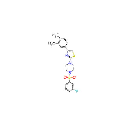 Cc1ccc(-c2csc(N3CCN(S(=O)(=O)c4cccc(F)c4)CC3)n2)cc1C